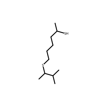 CC(S)CCCCSC(C)C(C)C